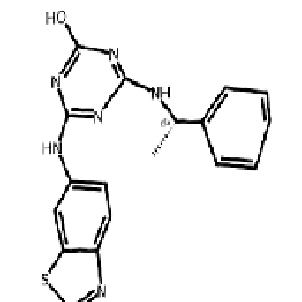 C[C@H](Nc1nc(O)nc(Nc2ccc3ncsc3c2)n1)c1ccccc1